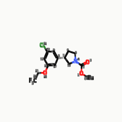 CC(C)(C)OC(=O)N1CC[C@@H](c2cc(Cl)cc(OCC(F)(F)F)c2)C1